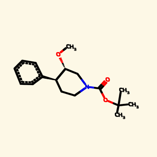 CO[C@@H]1CN(C(=O)OC(C)(C)C)CC[C@H]1c1ccccc1